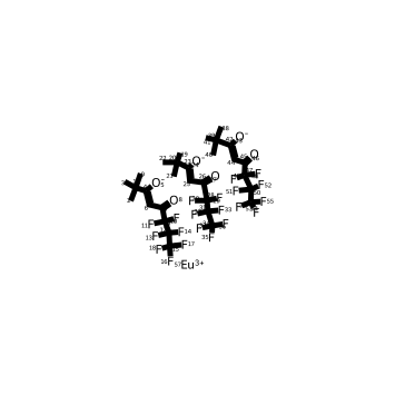 CC(C)(C)C([O-])=CC(=O)C(F)(F)C(F)(F)C(F)(F)F.CC(C)(C)C([O-])=CC(=O)C(F)(F)C(F)(F)C(F)(F)F.CC(C)(C)C([O-])=CC(=O)C(F)(F)C(F)(F)C(F)(F)F.[Eu+3]